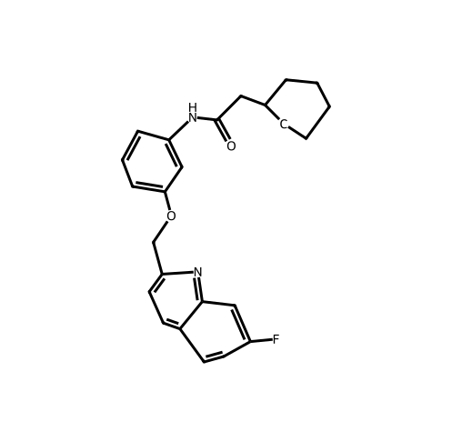 O=C(CC1CCCCC1)Nc1cccc(OCc2ccc3ccc(F)cc3n2)c1